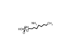 CCCCCCCCCOP(=O)(O)O.N